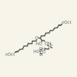 CCCCCCCCC=CCCCCCCCCOC(CCCCCCCCC=CCCCCCCCC)C(O)CO.C[N+](C)(C)CCOP(=O)(O)O